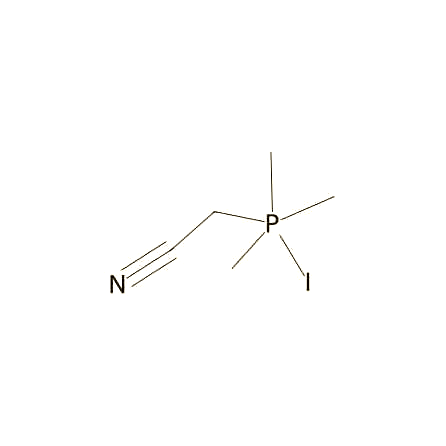 CP(C)(C)(I)CC#N